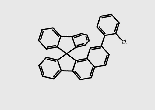 Clc1ccccc1-c1ccc2ccc3c(c2c1)C1(c2ccccc2-c2ccccc21)c1ccccc1-3